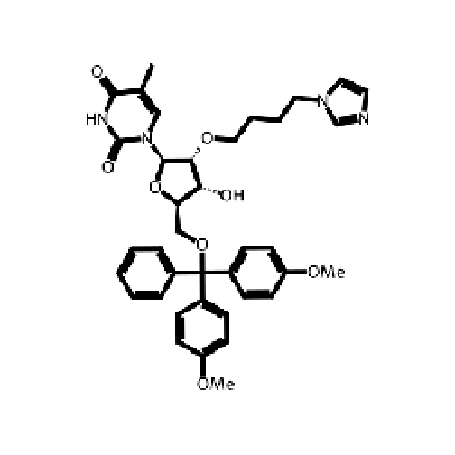 COc1ccc(C(OC[C@H]2O[C@@H](n3cc(C)c(=O)[nH]c3=O)[C@H](OCCCCn3ccnc3)[C@@H]2O)(c2ccccc2)c2ccc(OC)cc2)cc1